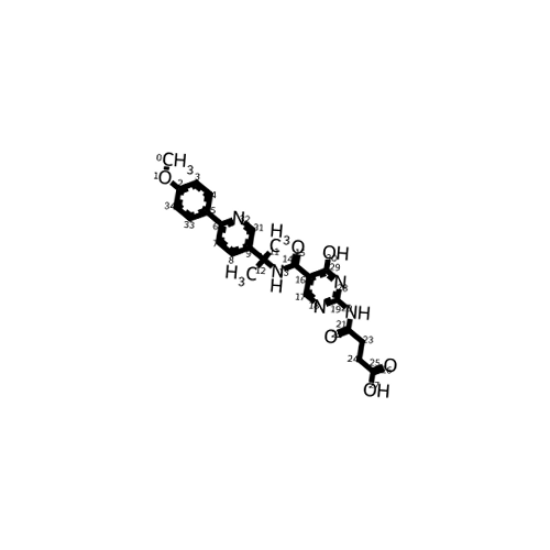 COc1ccc(-c2ccc(C(C)(C)NC(=O)c3cnc(NC(=O)CCC(=O)O)nc3O)cn2)cc1